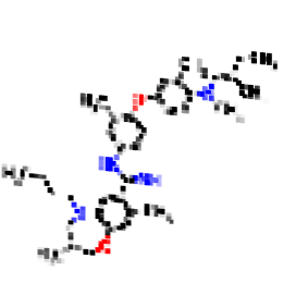 CCCCN1CC(C)COc2cc(C)c(C(=N)Nc3ccc(Oc4ccc(N(C)/C=C(\C)CC)c(C)c4)c(C)c3)cc21